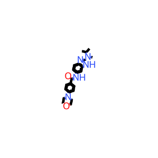 CC(C)N(C)c1nc2ccc(NC(=O)c3ccc(N4CCOCC4)cc3)cc2[nH]1